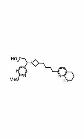 COc1ncc(C(CC(=O)O)N2CC(CCCCc3ccc4c(n3)NCCC4)C2)cn1